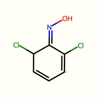 ON=C1C(Cl)=[C]C=CC1Cl